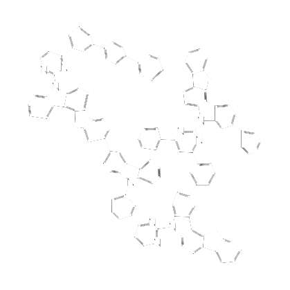 c1ccc(-c2ccc(-c3cccc(-c4ccnc(-n5c6ccccc6c6c7sc8cc(-c9ccc%10c(c9)c9ccccc9n%10-c9cccc(-c%10ccnc(-n%11c%12ccc(-c%13cccc(-c%14cc(-c%15ccccc%15)nc(-n%15c%16cc(-c%17ccccc%17)ccc%16c%16c%17sc%18ccccc%18c%17ccc%16%15)n%14)c%13)cc%12c%12c%13sc%14ccccc%14c%13ccc%12%11)n%10)c9)ccc8c7ccc65)n4)c3)cc2)cc1